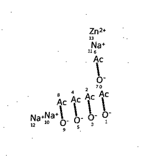 CC(=O)[O-].CC(=O)[O-].CC(=O)[O-].CC(=O)[O-].CC(=O)[O-].[Na+].[Na+].[Na+].[Zn+2]